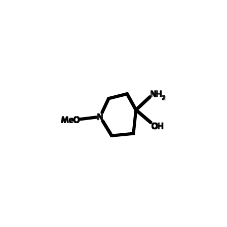 CON1CCC(N)(O)CC1